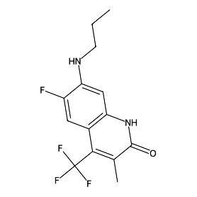 CCCNc1cc2[nH]c(=O)c(C)c(C(F)(F)F)c2cc1F